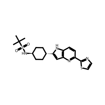 CC(C)(C)S(=O)(=O)N[C@H]1CC[C@H](c2cc3nc(-c4nccs4)ccc3[nH]2)CC1